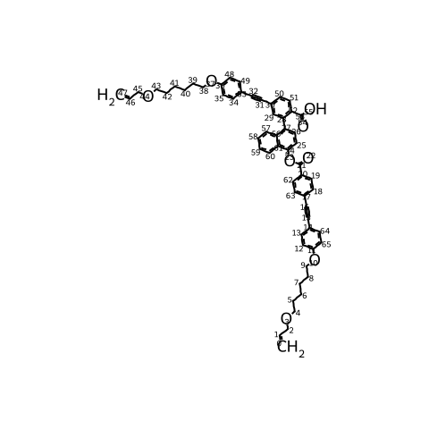 C=CCOCCCCCCOc1ccc(C#Cc2ccc(C(=O)Oc3ccc(-c4cc(C#Cc5ccc(OCCCCCCOCC=C)cc5)ccc4C(=O)O)c4ccccc34)cc2)cc1